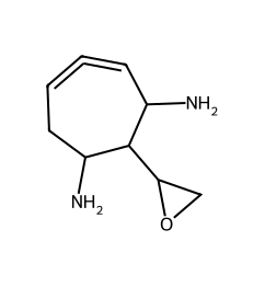 NC1C=C=CCC(N)C1C1CO1